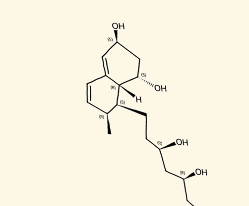 C[C@H]1C=CC2=C[C@@H](O)C[C@H](O)[C@@H]2[C@H]1CC[C@@H](O)C[C@@H](O)CC(=O)O